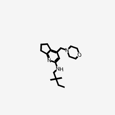 CCC(C)(C)CNc1cc(CN2CCOCC2)c2c(n1)CCC2